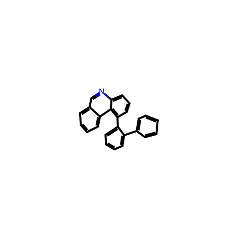 c1ccc(-c2ccccc2-c2cccc3ncc4ccccc4c23)cc1